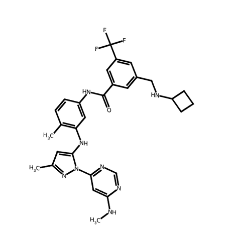 CNc1cc(-n2nc(C)cc2Nc2cc(NC(=O)c3cc(CNC4CCC4)cc(C(F)(F)F)c3)ccc2C)ncn1